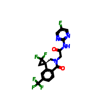 O=C(CN1C[C@@]2(CC2(F)F)c2cc(C(F)(F)F)ccc2C1=O)Nc1ncc(F)cn1